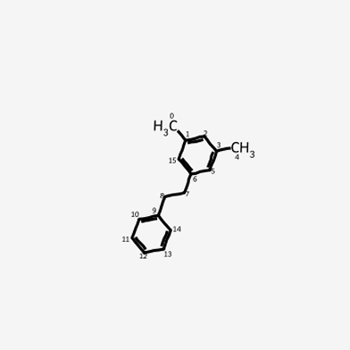 Cc1cc(C)cc(C[CH]c2ccccc2)c1